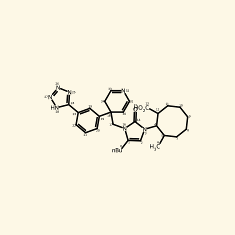 CCCCc1cn(C2C(C)CCCCCC2C(=O)O)c(=O)n1CC1(c2cccc(-c3nnn[nH]3)c2)C=CN=CC1